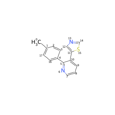 Cc1ccc(-c2ncccc2-c2cncs2)cc1